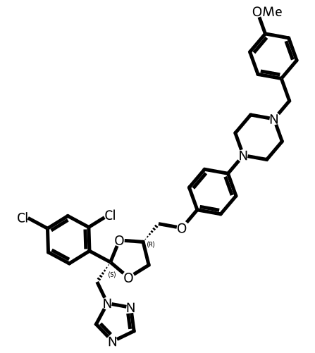 COc1ccc(CN2CCN(c3ccc(OC[C@@H]4CO[C@@](Cn5cncn5)(c5ccc(Cl)cc5Cl)O4)cc3)CC2)cc1